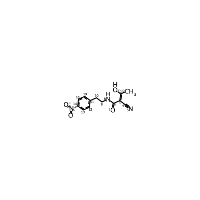 CC(O)=C(C#N)C(=O)NCCc1ccc([N+](=O)[O-])cc1